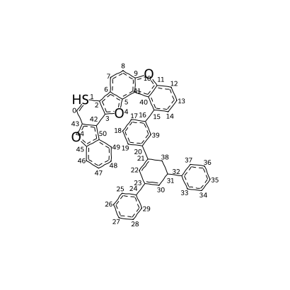 C1=[SH]c2c(oc3c2ccc2oc4cccc(-c5cccc(C6=CC(c7ccccc7)=CC(c7ccccc7)C6)c5)c4c23)-c2c1oc1ccccc21